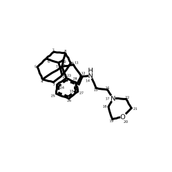 CC1C2CC3CC1CC(C2)C3(CC(=O)NCCN1CCOCC1)c1ccccc1